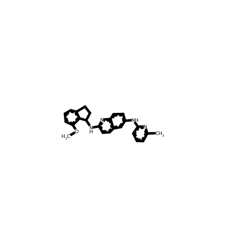 COc1cccc2c1C(Nc1ccc3cc(Nc4cccc(C)n4)ccc3n1)CC2